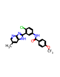 Cc1cnc2nc(-c3cc(NC(=O)c4ccc(OC(F)(F)F)cc4)ccc3Cl)[nH]c2c1